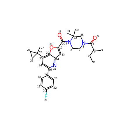 CCC(C)C(=O)N1CCN(C(=O)c2cc3nc(-c4ccc(F)cc4)cc(C4(C)CC4)c3o2)C(C)(C)C1